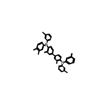 Cc1cccc(N(c2cccc(C)c2)c2ccc(-c3ccc(N(c4cccc(C)c4)c4ccc(C)c(C)c4)c(C)c3)cc2C)c1